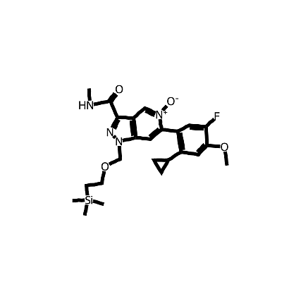 CNC(=O)c1nn(COCC[Si](C)(C)C)c2cc(-c3cc(F)c(OC)cc3C3CC3)[n+]([O-])cc12